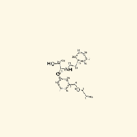 C=CCOCc1cccc(OC(NCCc2ccccc2)C(C)O)c1